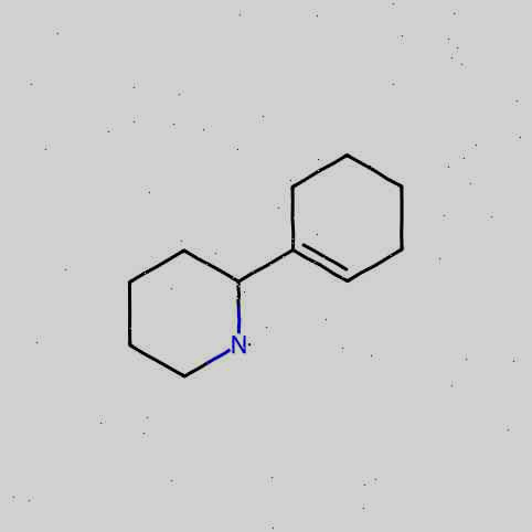 C1=C(C2CCCC[N]2)CCCC1